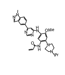 C=CC(=O)Nc1cc(Nc2cc(-c3ccc4c(cnn4C)c3)ncn2)c(OC)cc1N1CCN(C(C)C)CC1